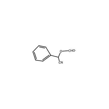 N#CC(O[C]=O)c1ccccc1